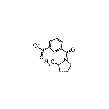 CC1CCCN1C(=O)c1cccc([N+](=O)[O-])c1